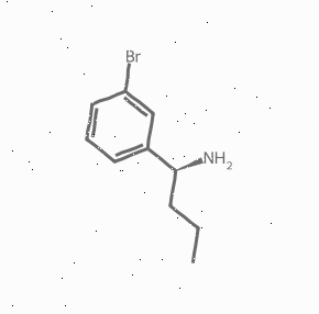 CCC[C@H](N)c1cccc(Br)c1